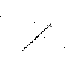 CCCCCC/C=C/CC/C=C/CCCCCCOC(C)=O